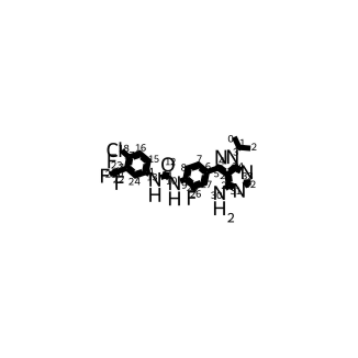 CC(C)n1nc(-c2ccc(NC(=O)Nc3ccc(Cl)c(C(F)(F)F)c3)c(F)c2)c2c(N)ncnc21